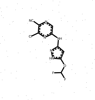 N#Cc1ncc(Nc2cc(OC(F)F)[nH]n2)nc1Cl